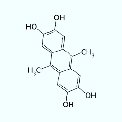 Cc1c2cc(O)c(O)cc2c(C)c2cc(O)c(O)cc12